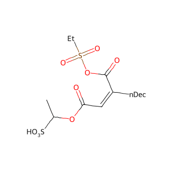 CCCCCCCCCC/C(=C/C(=O)OC(C)S(=O)(=O)O)C(=O)OS(=O)(=O)CC